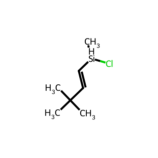 C[SiH](Cl)C=CC(C)(C)C